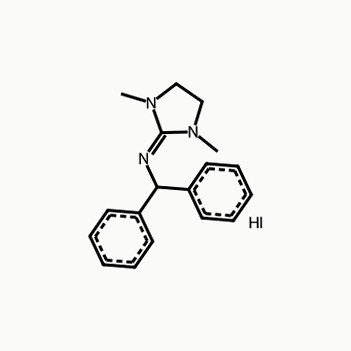 CN1CCN(C)C1=NC(c1ccccc1)c1ccccc1.I